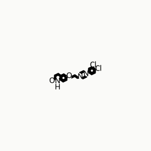 O=C1CCc2cc(OCCCN3CCN(c4ccc(Cl)c(Cl)c4)CC3)ccc2N1